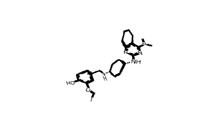 CN(C)c1nc(N[C@H]2CC[C@@H](NCc3ccc(O)c(OCI)c3)CC2)nc2c1CCCC2